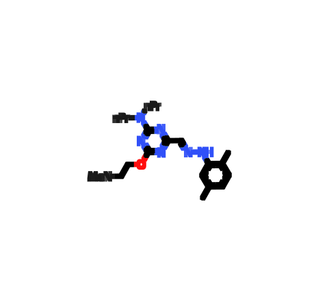 CCCN(CCC)c1nc(/C=N/Nc2cc(C)ccc2C)nc(OCCNC)n1